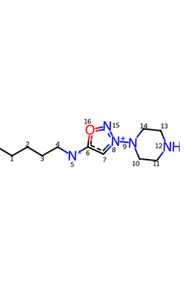 CCCCC[N-]c1c[n+](N2CCNCC2)no1